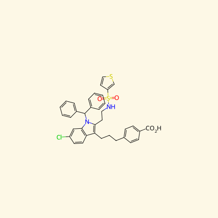 O=C(O)c1ccc(CCCc2c(CCNS(=O)(=O)c3ccsc3)n(C(c3ccccc3)c3ccccc3)c3cc(Cl)ccc23)cc1